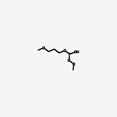 COCCCOP(O)OOC